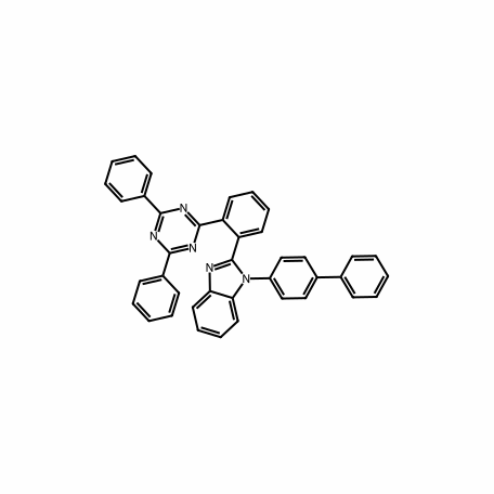 c1ccc(-c2ccc(-n3c(-c4ccccc4-c4nc(-c5ccccc5)nc(-c5ccccc5)n4)nc4ccccc43)cc2)cc1